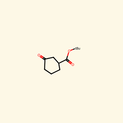 CC(C)(C)OC(=O)C1CCCC(=O)C1